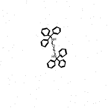 c1ccc(C(NCCOCNC(c2ccccc2)(c2ccccc2)c2ccccc2)(c2ccccc2)c2ccccc2)cc1